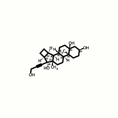 C[C@]12CC[C@H]3[C@@H](CC[C@]4(O)C[C@@H](O)CC[C@]34C)[C@@H]1[C@@H]1CC[C@@H]1[C@]2(O)C#CCO